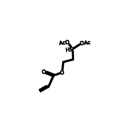 C=CC(=O)OCC[SiH](OC(C)=O)OC(C)=O